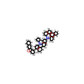 c1ccc(-c2ccccc2-c2cccc(N(c3cccc(-c4ccccc4N(c4ccc(-c5cccc6oc7cc8ccccc8cc7c56)cc4)c4ccccc4-c4ccccc4)c3)c3ccccc3-c3ccccc3)c2)cc1